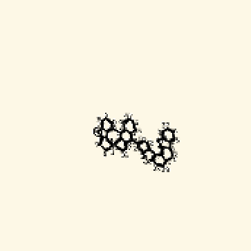 c1ccc2c(c1)oc1cccc(-c3c4ccccc4c(-c4ccc5c(c4)sc4ccc6ccc7c8ccccc8sc7c6c45)c4ccccc34)c12